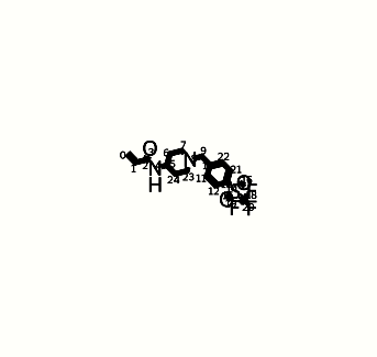 C=CC(=O)NC1CCN(Cc2ccc(S(=O)(=O)C(F)(F)F)cc2)CC1